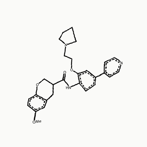 COc1ccc2c(c1)CC(C(=O)Nc1ccc(-c3ccncc3)cc1OCCN1CCCC1)CO2